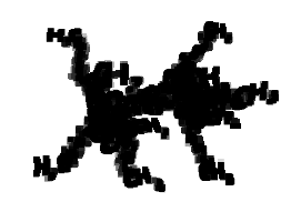 C=CC(=O)OC(CCCCCCCCC)OCc1cc(C(=O)Oc2ccc(OC(=O)c3cc(OC(CCCCCCCCC)OC(=O)C=C)c(OC(CCCCCCCCC)OC(=O)C=C)c(OC(CCCCCCCCC)OC(=O)C=C)c3)cc2)cc(OC(CCCCCCCCC)OC(=O)C=C)c1OC(CCCCCCCCC)OC(=O)C=C